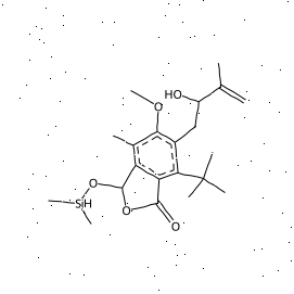 C=C(C)C(O)Cc1c(OC)c(C)c2c(c1C(C)(C)C)C(=O)OC2O[SiH](C)C